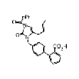 C/C=C/Cc1cn(C(=O)CCC)c(=O)n1Cc1ccc(-c2ccccc2C(=O)O)cc1